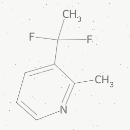 Cc1ncccc1C(C)(F)F